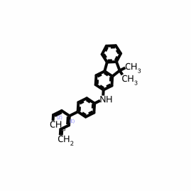 C=C/C=C(\C=C/C)c1ccc(Nc2ccc3c(c2)C(C)(C)c2ccccc2-3)cc1